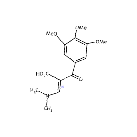 COc1cc(C(=O)/C(=C/N(C)C)C(=O)O)cc(OC)c1OC